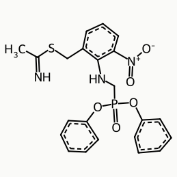 CC(=N)SCc1cccc([N+](=O)[O-])c1NCP(=O)(Oc1ccccc1)Oc1ccccc1